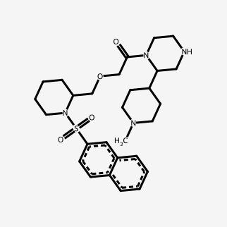 CN1CCC(C2CNCCN2C(=O)COCC2CCCCN2S(=O)(=O)c2ccc3ccccc3c2)CC1